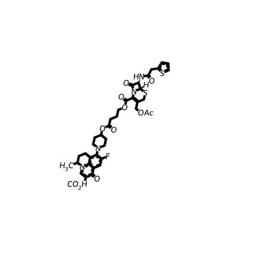 CC(=O)OCC1=C(C(=O)OCCCC(=O)OC2CCN(c3c(F)cc4c(=O)c(C(=O)O)cn5c4c3CCC5C)CC2)N2C(=O)[C@H](NC(=O)Cc3cccs3)[C@@H]2SC1